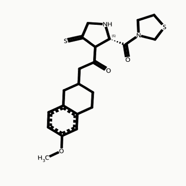 COc1ccc2c(c1)CCC(CC(=O)C1C(=S)CN[C@@H]1C(=O)N1CCSC1)C2